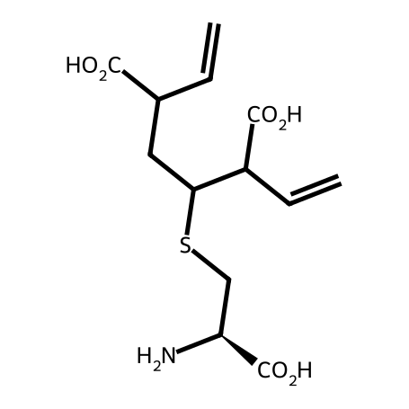 C=CC(CC(SC[C@H](N)C(=O)O)C(C=C)C(=O)O)C(=O)O